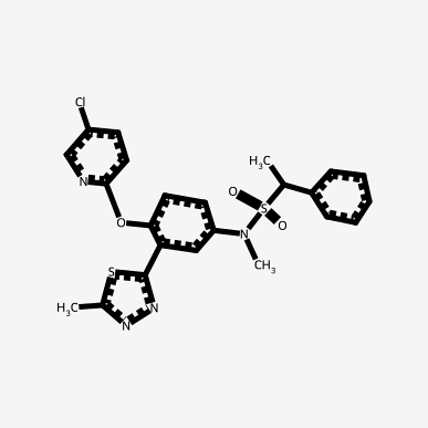 Cc1nnc(-c2cc(N(C)S(=O)(=O)C(C)c3ccccc3)ccc2Oc2ccc(Cl)cn2)s1